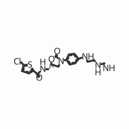 N=CNCCNc1ccc(N2C[C@H](CNC(=O)c3ccc(Cl)s3)OC2=O)cc1